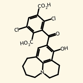 O=C(O)c1cc(Cl)c(C(=O)O)c(C(=O)c2cc3c4c(c2O)CCCN4CCCC3)c1Cl